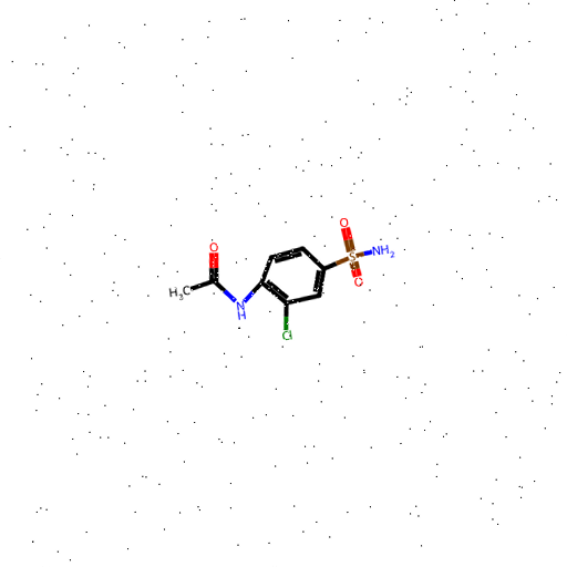 CC(=O)Nc1ccc(S(N)(=O)=O)cc1Cl